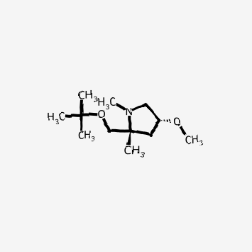 CO[C@H]1CN(C)[C@@](C)(COC(C)(C)C)C1